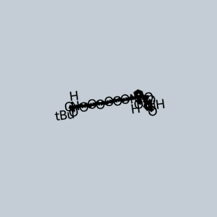 CC(C)(C)OC(=O)NCCOCCOCCOCCOCCOCCOCCNc1cccc2c1C(=O)N(C1CCC(=O)NC1=O)C2=O